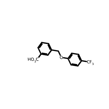 O=C(O)c1cccc(COc2ccc(C(F)(F)F)cc2)c1